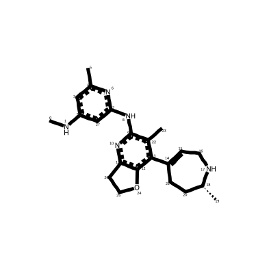 CNc1cc(C)nc(Nc2nc3c(c(C4=CCN[C@H](C)CC4)c2C)OCC3)c1